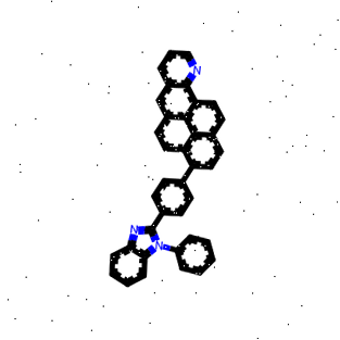 c1ccc(-n2c(-c3ccc(-c4ccc5ccc6c7ncccc7cc7ccc4c5c76)cc3)nc3ccccc32)cc1